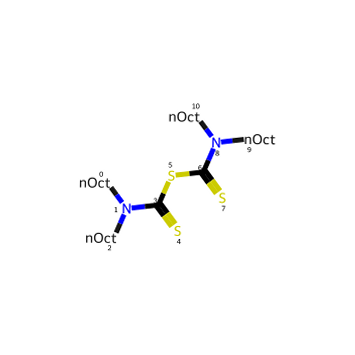 CCCCCCCCN(CCCCCCCC)C(=S)SC(=S)N(CCCCCCCC)CCCCCCCC